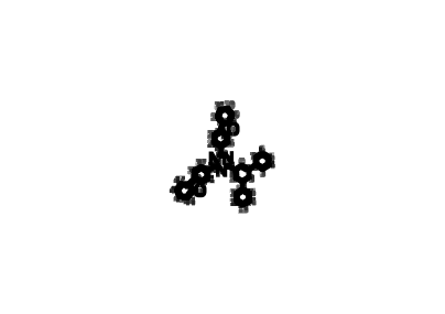 C1=C(c2ccccc2)CC(c2ccccc2)C=C1c1nc(-c2ccc3c(c2)oc2ccccc23)nc(-c2ccc3c(c2)oc2ccccc23)n1